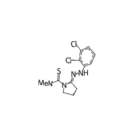 CNC(=S)N1CCCC1=NNc1cccc(Cl)c1Cl